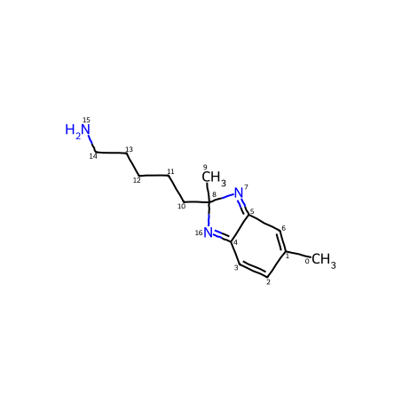 Cc1ccc2c(c1)=NC(C)(CCCCCN)N=2